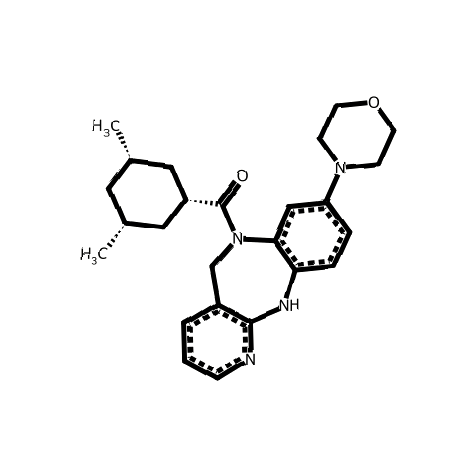 C[C@@H]1C[C@H](C)C[C@H](C(=O)N2Cc3cccnc3Nc3ccc(N4CCOCC4)cc32)C1